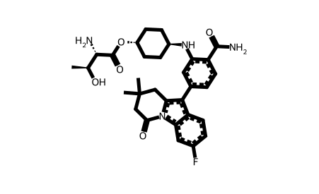 C[C@H](O)[C@H](N)C(=O)O[C@H]1CC[C@H](Nc2cc(-c3c4n(c5cc(F)ccc35)C(=O)CC(C)(C)C4)ccc2C(N)=O)CC1